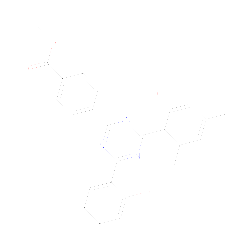 COC(=O)c1ccc(-c2nc(-c3ccccc3O)nc(-c3c(C)cc(C)cc3O)n2)cc1